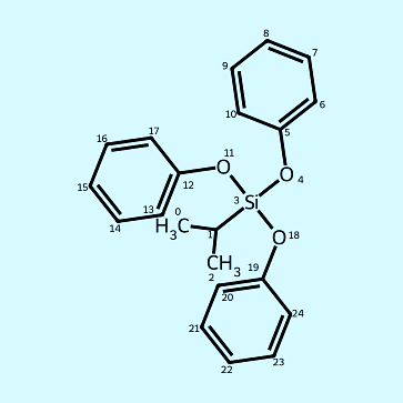 CC(C)[Si](Oc1ccccc1)(Oc1ccccc1)Oc1ccccc1